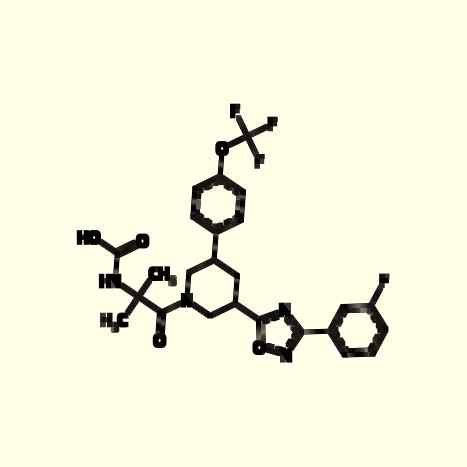 CC(C)(NC(=O)O)C(=O)N1CC(c2ccc(OC(F)(F)F)cc2)CC(c2nc(-c3cccc(F)c3)no2)C1